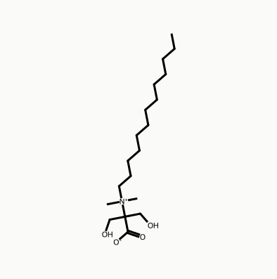 CCCCCCCCCCCCC[N+](C)(C)C(CO)(CO)C(=O)[O-]